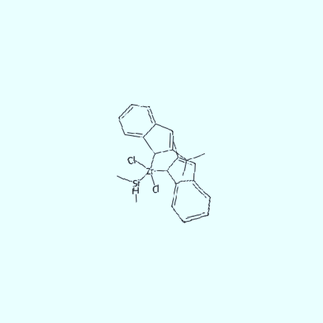 CC1=Cc2ccccc2[CH]1[Zr]([Cl])([Cl])([CH]1C(C(C)C)=Cc2ccccc21)[SiH](C)C